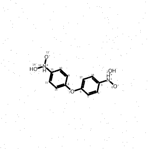 [O-][NH+](O)c1ccc(Oc2ccc([NH+]([O-])O)cc2)cc1